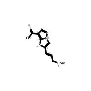 COC/C=C/c1cn2ncc(C(=O)Cl)c2s1